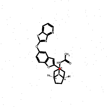 CC(=O)N[C@H]1C[C@H]2CC[C@@H](C1)N2Cc1cc2cc(Oc3nc4ncccc4s3)ccc2o1